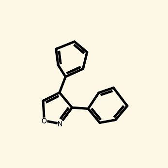 [c]1onc(-c2ccccc2)c1-c1ccccc1